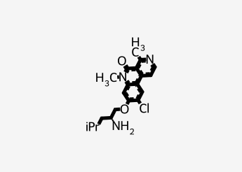 Cc1nccc2c1c(=O)n(C)c1cc(OC[C@H](N)CC(C)C)c(Cl)cc21